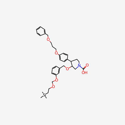 C[Si](C)(C)CCOCOc1cccc(COC2CN(C(=O)O)CCC2c2ccc(OCCCOCc3ccccc3)cc2)c1